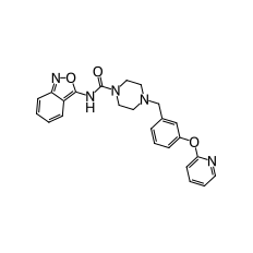 O=C(Nc1onc2ccccc12)N1CCN(Cc2cccc(Oc3ccccn3)c2)CC1